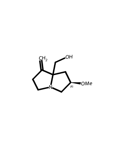 C=C1CCN2C[C@H](OC)CC12CO